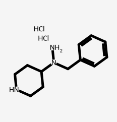 Cl.Cl.NN(Cc1ccccc1)C1CCNCC1